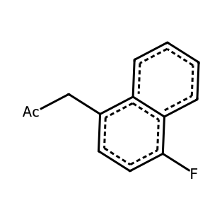 CC(=O)Cc1ccc(F)c2ccccc12